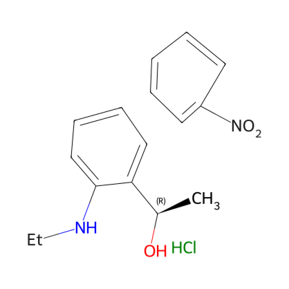 CCNc1ccccc1[C@@H](C)O.Cl.O=[N+]([O-])c1ccccc1